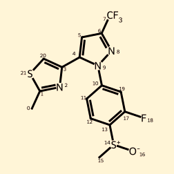 Cc1nc(-c2cc(C(F)(F)F)nn2-c2ccc([S+](C)[O-])c(F)c2)cs1